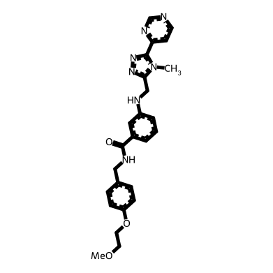 COCCOc1ccc(CNC(=O)c2cccc(NCc3nnc(-c4ccncn4)n3C)c2)cc1